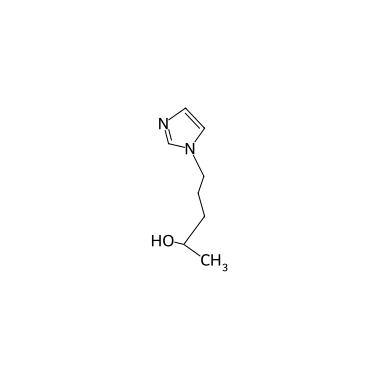 CC(O)CCCn1ccnc1